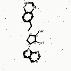 O[C@@H]1[C@@H](CCc2ccc3c(c2)N=CNS3)C[C@@H](n2ccc3cncnc32)[C@@H]1O